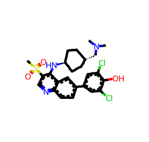 CN(C)C[C@H]1CC[C@H](Nc2c(S(C)(=O)=O)cnc3ccc(-c4cc(Cl)c(O)c(Cl)c4)cc23)CC1